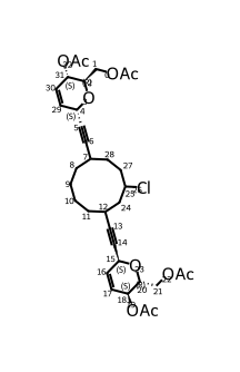 CC(=O)OC[C@H]1O[C@H](C#CC2CCCCC(C#C[C@@H]3C=C[C@H](OC(C)=O)[C@@H](COC(C)=O)O3)CC(Cl)CC2)C=C[C@@H]1OC(C)=O